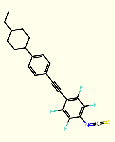 CCC1CCC(c2ccc(C#Cc3c(F)c(F)c(N=C=S)c(F)c3F)cc2)CC1